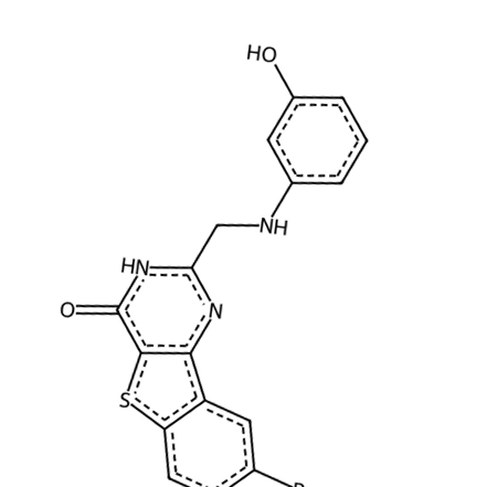 O=c1[nH]c(CNc2cccc(O)c2)nc2c1sc1ccc(Br)cc12